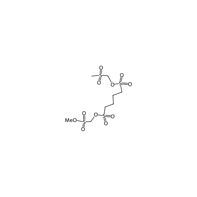 COS(=O)(=O)COS(=O)(=O)CCCCS(=O)(=O)OCS(C)(=O)=O